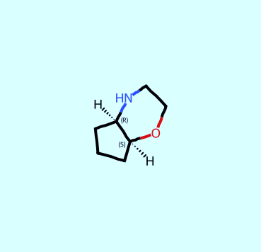 C1C[C@@H]2OCCN[C@@H]2C1